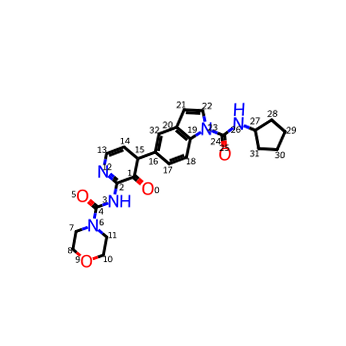 O=C1C(NC(=O)N2CCOCC2)=NC=CC1c1ccc2c(ccn2C(=O)NC2CCCC2)c1